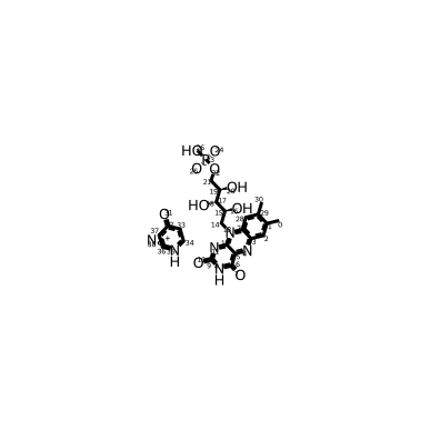 Cc1cc2nc3c(=O)[nH]c(=O)nc-3n(C[C@H](O)[C@H](O)[C@H](O)COP(=O)([O-])O)c2cc1C.O=c1cc[nH]cc1.[Na+]